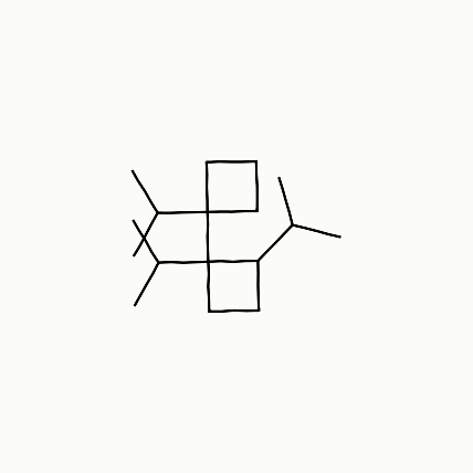 CC(C)C1CCC1(C(C)C)C1(C(C)C)CCC1